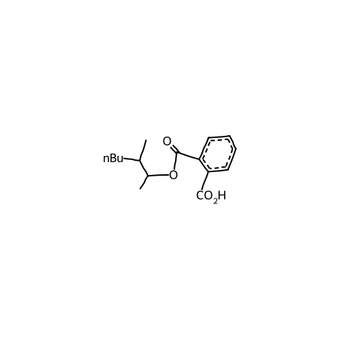 CCCCC(C)C(C)OC(=O)c1ccccc1C(=O)O